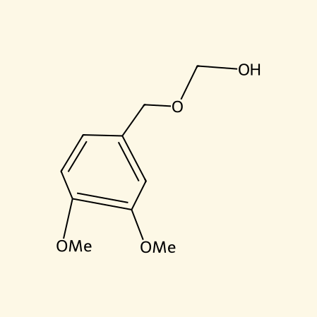 COc1ccc(COCO)cc1OC